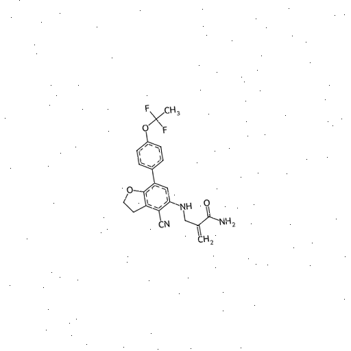 C=C(CNc1cc(-c2ccc(OC(C)(F)F)cc2)c2c(c1C#N)CCO2)C(N)=O